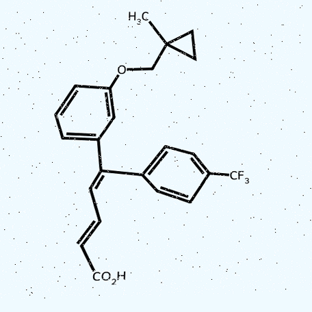 CC1(COc2cccc(C(=CC=CC(=O)O)c3ccc(C(F)(F)F)cc3)c2)CC1